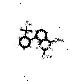 COc1nc(OC)c2cccc(-c3ccccc3C(C)(C)O)c2n1